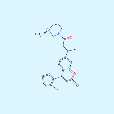 Cc1ccccc1-c1cc(=O)oc2cc(C(C)CC(=O)N3CCC[C@H](C(=O)O)C3)ccc12